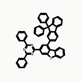 c1ccc(-c2nc(-c3ccccc3)nc(-c3cc(-c4ccc5c(c4)C(c4ccccc4)(c4ccccc4)c4ccccc4-5)c4c(c3)sc3ccccc34)n2)cc1